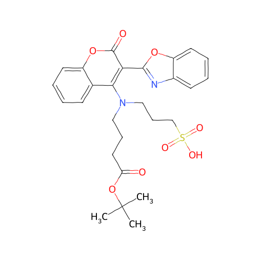 CC(C)(C)OC(=O)CCCN(CCCS(=O)(=O)O)c1c(-c2nc3ccccc3o2)c(=O)oc2ccccc12